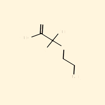 CC(C)(OCCN)C(=O)C=O